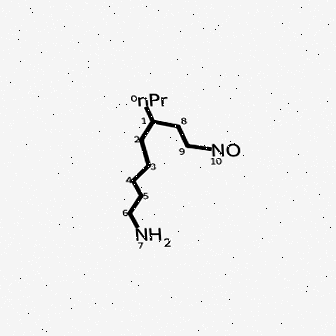 CCCC(CCCCCN)CCN=O